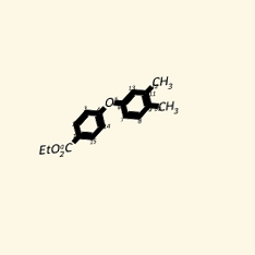 CCOC(=O)c1ccc(Oc2ccc(C)c(C)c2)cc1